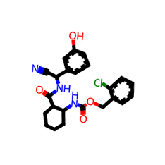 N#CC(NC(=O)C1CCCCC1NC(=O)OCc1ccccc1Cl)c1cccc(O)c1